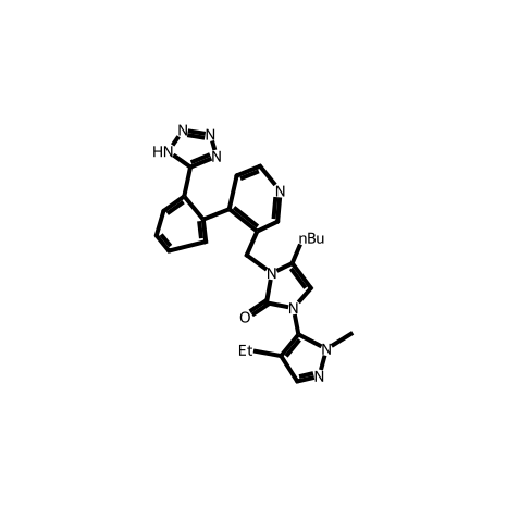 CCCCc1cn(-c2c(CC)cnn2C)c(=O)n1Cc1cnccc1-c1ccccc1-c1nnn[nH]1